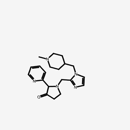 CN1CCC(Cn2ccnc2CN2CCC(=O)C2c2ccccn2)CC1